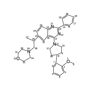 COc1ccccc1C1CCN(c2nc(-c3ccccc3)nc3ccc([C](C)CN4CCOCC4)cc23)CC1